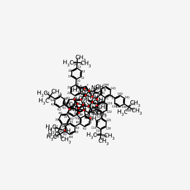 C[CH]=[Zr]([CH]1C(CC)=Cc2c(-c3ccc(C(C)(C)C)cc3)cccc21)([CH]1C(CC)=Cc2c(-c3ccc(C(C)(C)C)cc3)cccc21)([Hf](=[CH]C)([C](N)=O)([C](N)=O)([CH]1C(CC)=Cc2c(-c3ccc(C(C)(C)C)cc3)cccc21)[CH]1C(CC)=Cc2c(-c3ccc(C(C)(C)C)cc3)cccc21)[Hf](=[CH]C)([C](N)=O)([C](N)=O)([CH]1C(CC)=Cc2c(-c3ccc(C(C)(C)C)cc3)cccc21)[CH]1C(CC)=Cc2c(-c3ccc(C(C)(C)C)cc3)cccc21